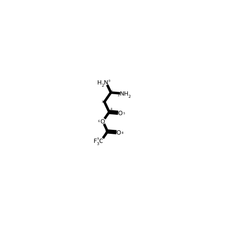 NC(N)CC(=O)OC(=O)C(F)(F)F